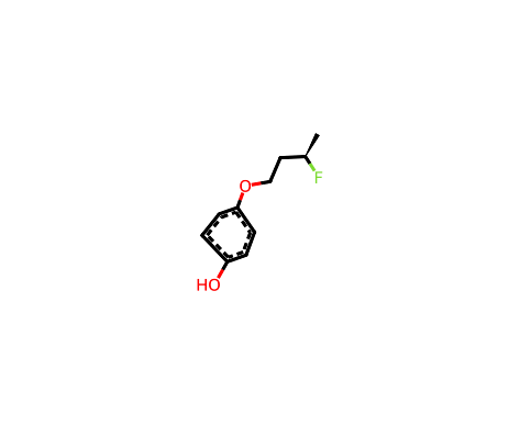 C[C@@H](F)CCOc1ccc(O)cc1